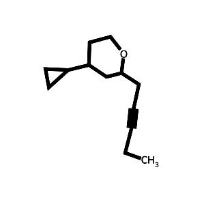 CCC#CCC1CC(C2CC2)CCO1